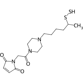 CC(CCCCN1CCN(C(=O)CN2C(=O)C=CC2=O)CC1)SS